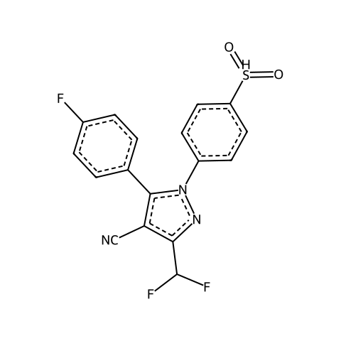 N#Cc1c(C(F)F)nn(-c2ccc([SH](=O)=O)cc2)c1-c1ccc(F)cc1